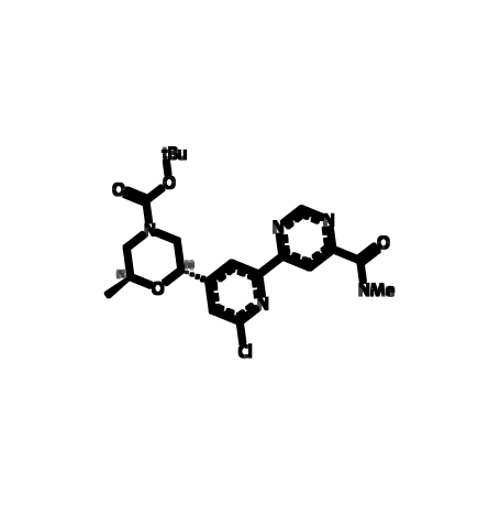 CNC(=O)c1cc(-c2cc([C@H]3CN(C(=O)OC(C)(C)C)C[C@H](C)O3)cc(Cl)n2)ncn1